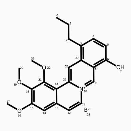 CCCc1ccc(O)c2c[n+]3ccc4cc(OC)c(OC)c(OC)c4c3cc12.[Br-]